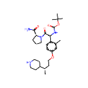 Cc1cc(OCC[C@@H](C)C2CCNCC2)ccc1C(NC(=O)OC(C)(C)C)C(=O)N1CCC[C@H]1C(N)=O